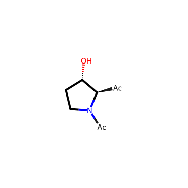 CC(=O)[C@@H]1[C@@H](O)CCN1C(C)=O